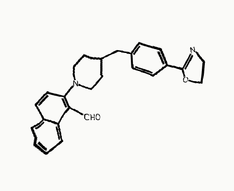 O=Cc1c(N2CCC(Cc3ccc(C4=NCCO4)cc3)CC2)ccc2ccccc12